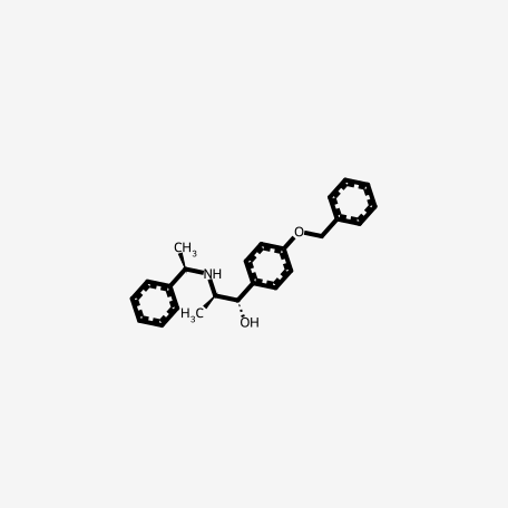 C[C@@H](N[C@H](C)[C@@H](O)c1ccc(OCc2ccccc2)cc1)c1ccccc1